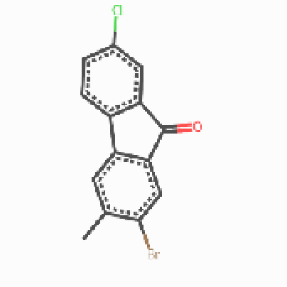 Cc1cc2c(cc1Br)C(=O)c1cc(Cl)ccc1-2